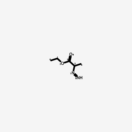 CCOC(=O)C(C)N=N